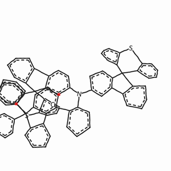 c1ccc(C2(c3ccccc3)c3ccccc3-c3c(-c4ccccc4N(c4ccc5c(c4)-c4ccccc4C54c5ccccc5Sc5ccccc54)c4ccc5c(c4)C4(c6ccccc6Sc6ccccc64)c4ccccc4-5)cccc32)cc1